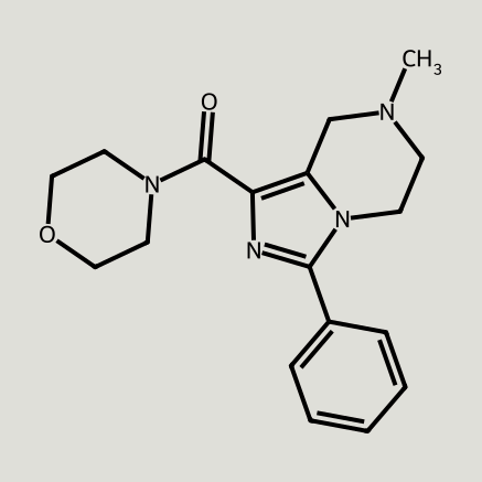 CN1CCn2c(-c3ccccc3)nc(C(=O)N3CCOCC3)c2C1